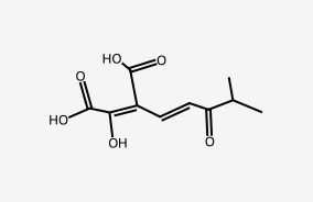 CC(C)C(=O)C=CC(C(=O)O)=C(O)C(=O)O